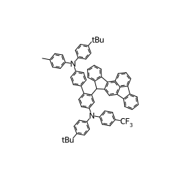 Cc1ccc(N(c2ccc(-c3ccc(N(c4ccc(C(C)(C)C)cc4)c4ccc(C(F)(F)F)cc4)cc3C3c4ccccc4-c4c3cc3c5c(cccc45)-c4ccccc4-3)cc2)c2ccc(C(C)(C)C)cc2)cc1